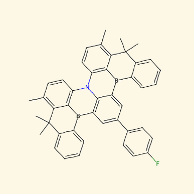 Cc1ccc2c3c1C(C)(C)c1ccccc1B3c1cc(-c3ccc(F)cc3)cc3c1N2c1ccc(C)c2c1B3c1ccccc1C2(C)C